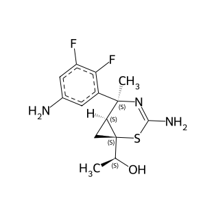 C[C@H](O)[C@]12C[C@H]1[C@@](C)(c1cc(N)cc(F)c1F)N=C(N)S2